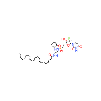 CC/C=C\C/C=C\C/C=C\C/C=C\C/C=C\C/C=C\CCC(=O)NCCNP(=O)(CC[C@H]1O[C@@H](n2ccc(=O)[nH]c2=O)[C@](C)(F)[C@@H]1O)Oc1ccccc1